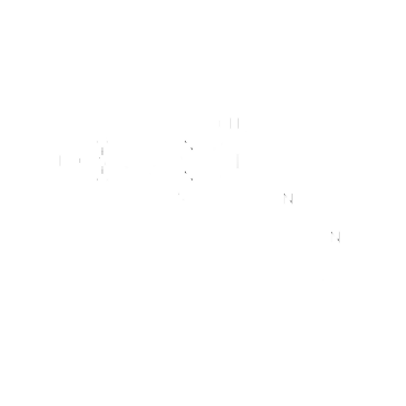 Cc1cc(C2CCN(C3CCCN(CC4CC4)CC3)CC2)cc2c1nc(-c1ccc(S(C)(=O)=O)cc1)n2C